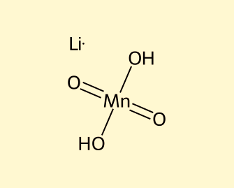 [Li].[O]=[Mn](=[O])([OH])[OH]